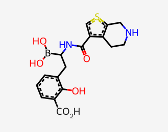 O=C(O)c1cccc(CC(NC(=O)c2csc3c2CCNC3)B(O)O)c1O